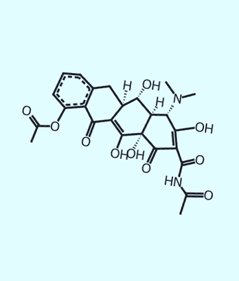 CC(=O)NC(=O)C1=C(O)[C@@H](N(C)C)[C@@H]2[C@@H](O)[C@@H]3Cc4cccc(OC(C)=O)c4C(=O)C3=C(O)[C@]2(O)C1=O